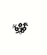 CCN1C(=O)C2(CCc3ccc(-c4ccnn4C)cc32)C(=O)N(c2ccccc2)c2cc(C(F)(F)F)ccc21